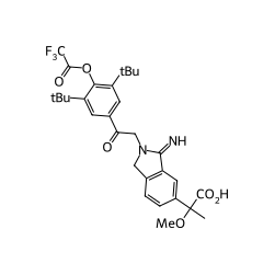 COC(C)(C(=O)O)c1ccc2c(c1)C(=N)N(CC(=O)c1cc(C(C)(C)C)c(OC(=O)C(F)(F)F)c(C(C)(C)C)c1)C2